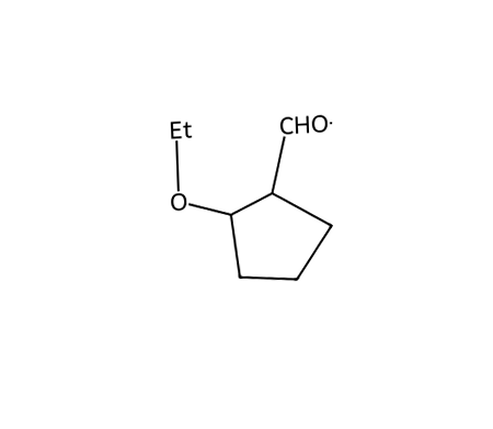 CCOC1CCCC1[C]=O